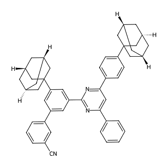 N#Cc1cccc(-c2cc(-c3nc(-c4ccccc4)cc(-c4ccc(C56C[C@H]7C[C@@H](C5)C[C@@H](C6)C7)cc4)n3)cc(C34C[C@H]5C[C@H](C3)C[C@@H](C4)C5)c2)c1